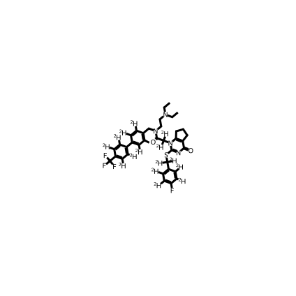 [2H]c1c([2H])c(C([2H])([2H])Sc2nc(=O)c3c(n2C([2H])([2H])C(=O)N(CCN(CC)CC)Cc2c([2H])c([2H])c(-c4c([2H])c([2H])c(C(F)(F)F)c([2H])c4[2H])c([2H])c2C)CCC3)c([2H])c([2H])c1F